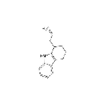 C=CCC1CCCc2c1[nH]c1ccccc21